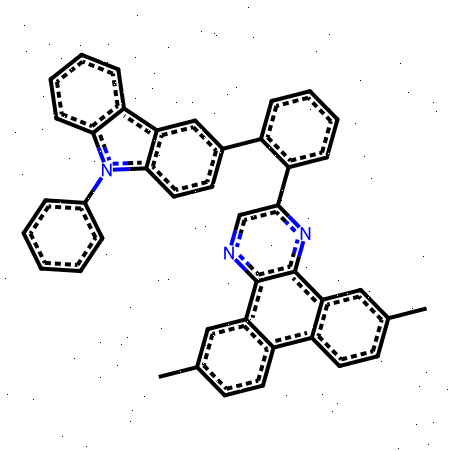 Cc1ccc2c3ccc(C)cc3c3nc(-c4ccccc4-c4ccc5c(c4)c4ccccc4n5-c4ccccc4)cnc3c2c1